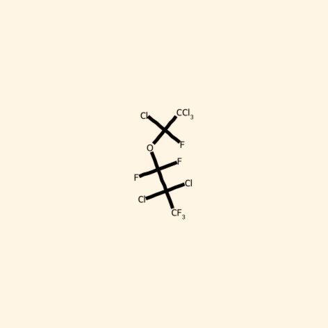 FC(F)(F)C(Cl)(Cl)C(F)(F)OC(F)(Cl)C(Cl)(Cl)Cl